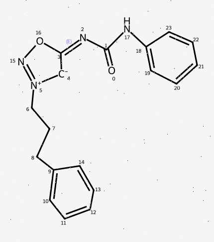 O=C(/N=c1\[cH-][n+](CCCc2ccccc2)no1)Nc1ccccc1